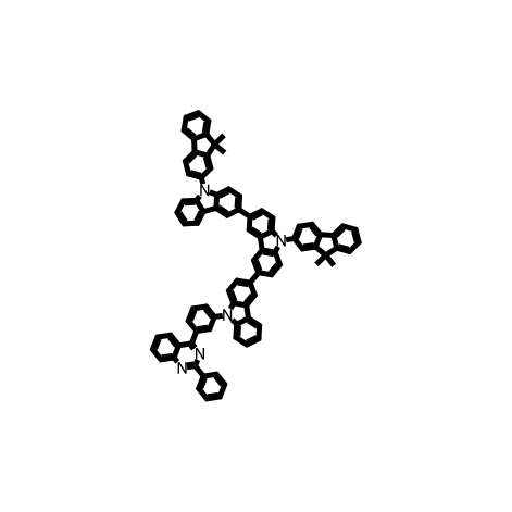 CC1(C)c2ccccc2-c2ccc(-n3c4ccccc4c4cc(-c5ccc6c(c5)c5cc(-c7ccc8c(c7)c7ccccc7n8-c7cccc(-c8nc(-c9ccccc9)nc9ccccc89)c7)ccc5n6-c5ccc6c(c5)C(C)(C)c5ccccc5-6)ccc43)cc21